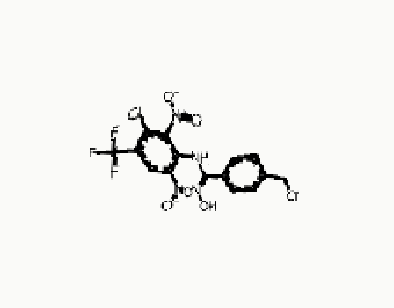 O=[N+]([O-])c1cc(C(F)(F)F)c(Cl)c([N+](=O)[O-])c1NC(=NO)c1ccc(CCl)cc1